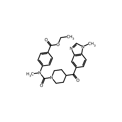 CCOC(=O)c1ccc(N(C)C(=O)N2CCC(C(=O)c3ccc4c(c3)ncn4C)CC2)cc1